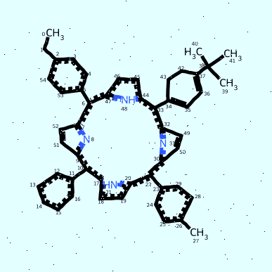 CCc1ccc(-c2c3nc(c(-c4ccccc4)c4ccc([nH]4)c(-c4ccc(C)cc4)c4nc(c(C5=CC=C(C(C)(C)C)CC5)c5ccc2[nH]5)C=C4)C=C3)cc1